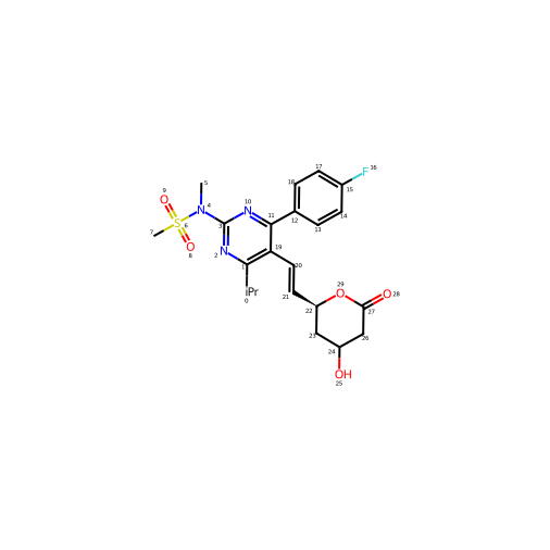 CC(C)c1nc(N(C)S(C)(=O)=O)nc(-c2ccc(F)cc2)c1/C=C/[C@@H]1CC(O)CC(=O)O1